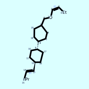 CC/C=C\OCC1CCC([C@H]2CC[C@H](/C=C/CCC)CC2)CC1